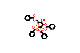 O=C(OC[C@H]1OC(OC(=O)c2ccccc2)[C@@H](OC(=O)c2ccccc2)[C@@H](OC(=O)c2ccccc2)[C@@H]1O)c1ccccc1